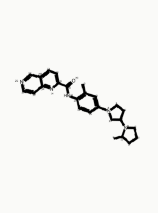 Cc1cc(N2CCC(N3CCCC3C)C2)ccc1NC(=O)c1ccc2cnccc2n1